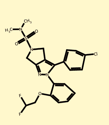 CN(C)S(=O)(=O)N1Cc2nn(-c3ccccc3OCC(F)F)c(-c3ccc(Cl)cc3)c2C1